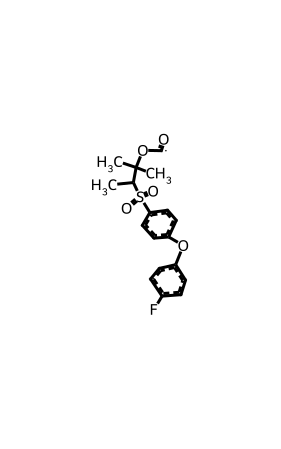 CC(C(C)(C)O[C]=O)S(=O)(=O)c1ccc(Oc2ccc(F)cc2)cc1